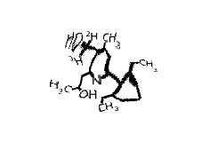 [2H]C([2H])(O)c1c(C)cc(-c2c(CC)cccc2CC)nc1CC(C)O